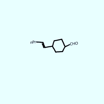 CCCC=CC1CCC(C=O)CC1